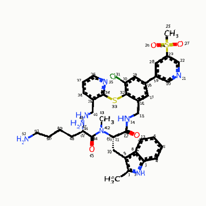 Cc1[nH]c2ccccc2c1C[C@@H](C(=O)NCc1cc(-c2cncc(S(C)(=O)=O)c2)cc(Cl)c1Sc1ncccc1CN)N(C)C(=O)[C@@H](N)CCCCN